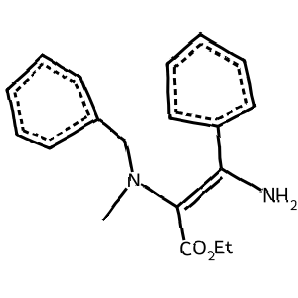 CCOC(=O)C(=C(N)c1ccccc1)N(C)Cc1ccccc1